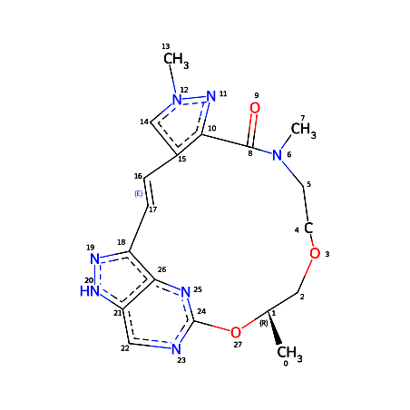 C[C@@H]1COCCN(C)C(=O)c2nn(C)cc2/C=C/c2n[nH]c3cnc(nc23)O1